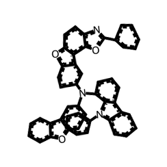 c1ccc(-c2nc3ccc4oc5ccc(N(c6ccc7oc8ccccc8c7c6)c6cccc7c8ccccc8n(-c8ccccc8)c67)cc5c4c3o2)cc1